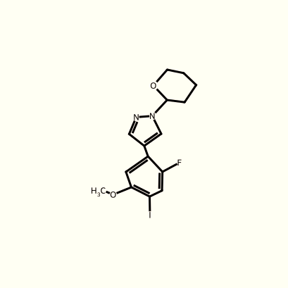 COc1cc(-c2cnn(C3CCCCO3)c2)c(F)cc1I